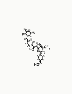 Cc1c(-c2ccc(CO)cc2)nc2c(C(=O)N3CCN(Cc4cc(F)cc(F)c4F)CC3(C)C)cnn2c1C(F)(F)F